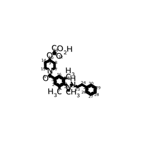 Cc1cc(C(=O)N2CCC(OC(=O)C(=O)O)CC2)cc(C)c1N(C)NCCc1ccccc1